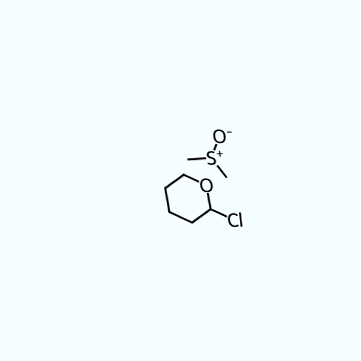 C[S+](C)[O-].ClC1CCCCO1